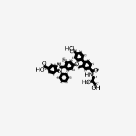 Cl.O=C(O)c1ccc2c(c1)nc(-c1ccc(OCc3cc(C(=O)NCC(O)CO)ccc3-c3ccc(Cl)cc3)cc1F)n2C1CCCCC1